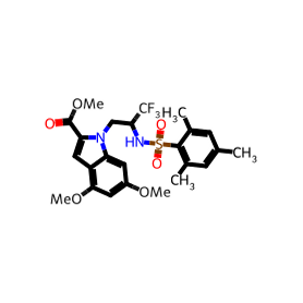 COC(=O)c1cc2c(OC)cc(OC)cc2n1CC(NS(=O)(=O)c1c(C)cc(C)cc1C)C(F)(F)F